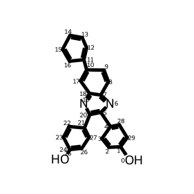 Oc1ccc(-c2nc3ccc(-c4ccccc4)cc3nc2-c2ccc(O)cc2)cc1